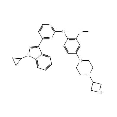 COc1cc(N2CCN(C3CNC3)CC2)ccc1Nc1nccc(-c2cn(C3CC3)c3ccccc23)n1